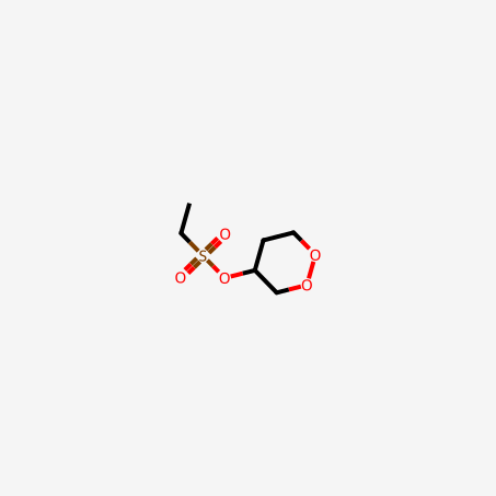 CCS(=O)(=O)OC1CCOOC1